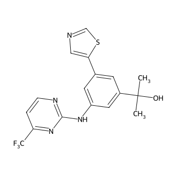 CC(C)(O)c1cc(Nc2nccc(C(F)(F)F)n2)cc(-c2cncs2)c1